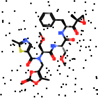 COC[C@H](NC(=O)[C@H](COC)N(Cc1oc(=O)oc1C)C(=O)c1cnc(C)s1)C(=O)N[C@@H](Cc1ccccc1)C(=O)[C@]1(C)CO1